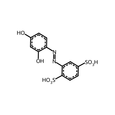 O=S(=O)(O)c1ccc(S(=O)(=O)O)c(N=Nc2ccc(O)cc2O)c1